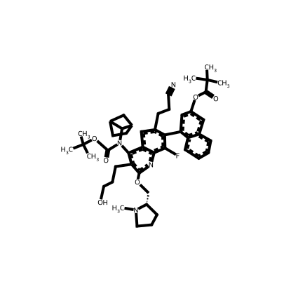 CN1CCC[C@H]1COc1nc2c(F)c(-c3cc(OC(=O)C(C)(C)C)cc4ccccc34)c(CCC#N)cc2c(N(C(=O)OC(C)(C)C)C2C3CCC2C3)c1CCCO